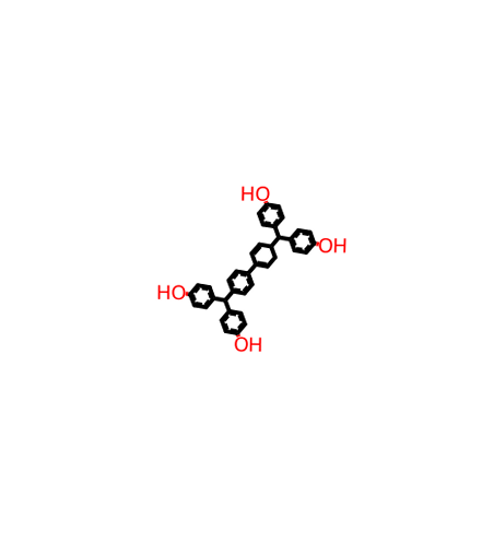 Oc1ccc(C(c2ccc(O)cc2)c2ccc(C3=CCC(C(c4ccc(O)cc4)c4ccc(O)cc4)C=C3)cc2)cc1